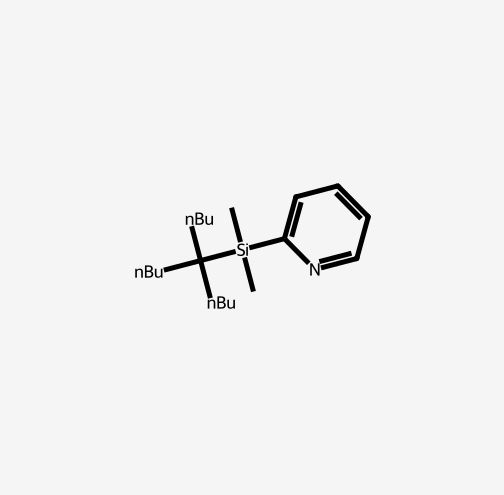 CCCCC(CCCC)(CCCC)[Si](C)(C)c1ccccn1